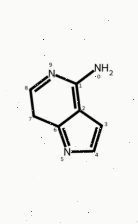 NC1=C2C=CN=C2CC=N1